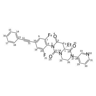 CC[C@@]12CC(=O)N(c3c(F)cc(C#Cc4ccccc4)cc3F)C(=O)N1CCN(c1cccnc1)C2=O